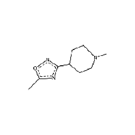 Cc1nc(C2CCN(C)CC2)no1